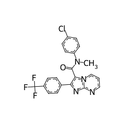 CN(C(=O)c1c(-c2ccc(C(F)(F)F)cc2)nc2ncccn12)c1ccc(Cl)cc1